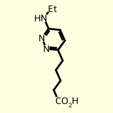 CCNc1ccc(CCCCC(=O)O)nn1